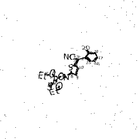 CCOP(=S)(OCC)ON=C1C=CC(=C(C#N)c2ccccc2C)S1